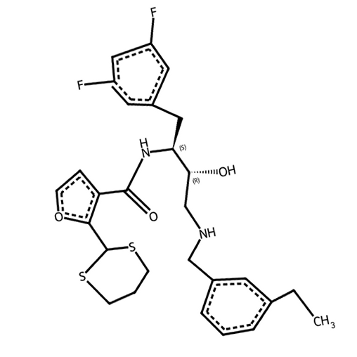 CCc1cccc(CNC[C@@H](O)[C@H](Cc2cc(F)cc(F)c2)NC(=O)c2ccoc2C2SCCCS2)c1